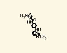 Nc1nc(C(=O)NC2CCC(Nc3cccc4nc(C(F)(F)F)cn34)CC2)cs1